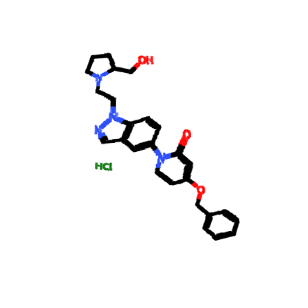 Cl.O=c1cc(OCc2ccccc2)ccn1-c1ccc2c(cnn2CCN2CCCC2CO)c1